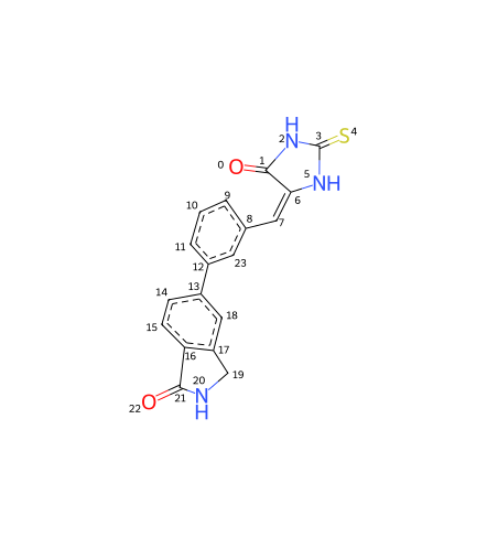 O=C1NC(=S)N/C1=C/c1cccc(-c2ccc3c(c2)CNC3=O)c1